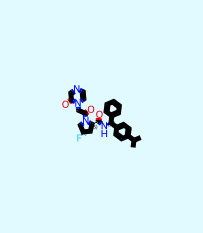 CC(C)c1ccc([C@@H](NC(=O)[C@@H]2C[C@@H](F)CN2C(=O)Cn2ccncc2=O)c2ccccc2)cc1